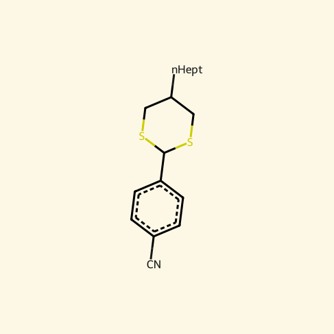 CCCCCCCC1CSC(c2ccc(C#N)cc2)SC1